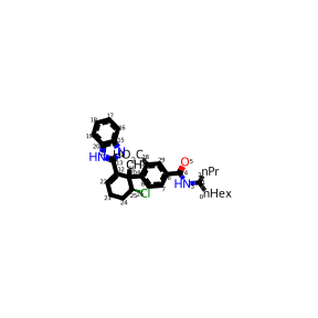 CCCCCCC(CCC)NC(=O)c1ccc(C2(C)C(c3nc4ccccc4[nH]3)=CCC[C@@H]2Cl)c(C(=O)O)c1